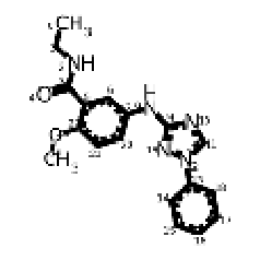 CCNC(=O)c1cc(Nc2ncn(-c3ccccc3)n2)ccc1OC